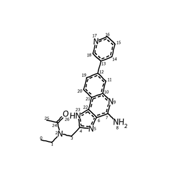 CCN(Cc1nc2c(N)nc3cc(-c4cccnc4)ccc3c2[nH]1)C(C)=O